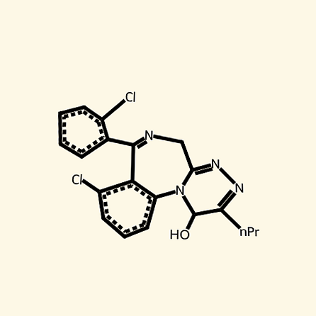 CCCC1=NN=C2CN=C(c3ccccc3Cl)c3c(Cl)cccc3N2C1O